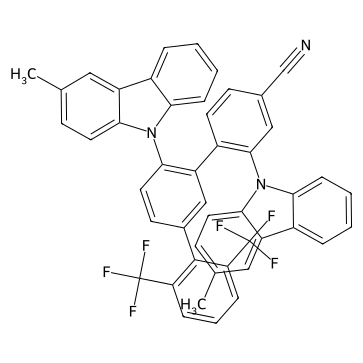 Cc1ccc2c(c1)c1ccccc1n2-c1ccc(-c2c(C(F)(F)F)cccc2C(F)(F)F)cc1-c1ccc(C#N)cc1-n1c2ccccc2c2cc(C)ccc21